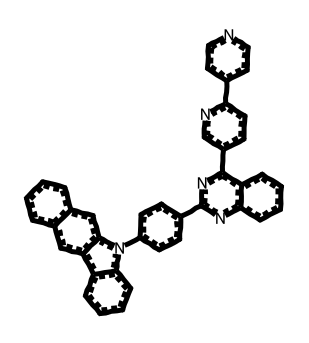 c1ccc2cc3c(cc2c1)c1ccccc1n3-c1ccc(-c2nc(-c3ccc(-c4ccncc4)nc3)c3ccccc3n2)cc1